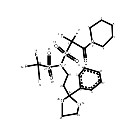 O=C(N1CCCCC1)C(F)(F)S(=O)(=O)N(CCC1(c2ccccc2)OCCO1)S(=O)(=O)C(F)(F)F